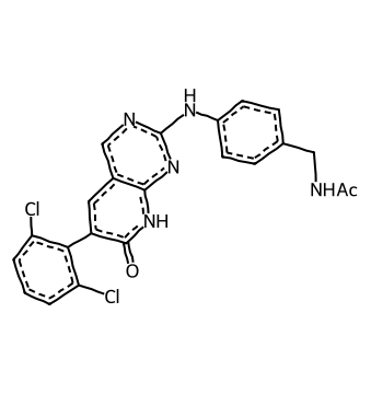 CC(=O)NCc1ccc(Nc2ncc3cc(-c4c(Cl)cccc4Cl)c(=O)[nH]c3n2)cc1